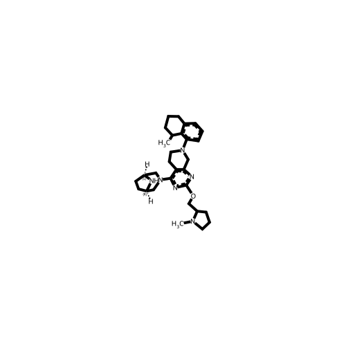 CC1CCCc2cccc(N3CCc4c(nc(OCC5CCCN5C)nc4N4C[C@H]5CC[C@@H](C4)N5)C3)c21